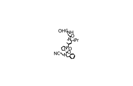 C/C(=C\[C@H](C(C)C)N(C)C(=O)CNC=O)C(=O)N1CCC[C@H]1C(=O)N(CCC#N)Cc1ccccc1